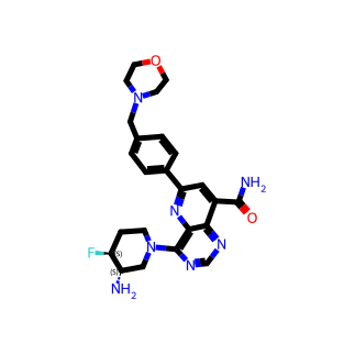 NC(=O)c1cc(-c2ccc(CN3CCOCC3)cc2)nc2c(N3CC[C@H](F)[C@@H](N)C3)ncnc12